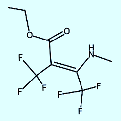 CCOC(=O)/C(=C(\NC)C(F)(F)F)C(F)(F)F